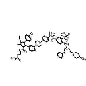 CCn1c(C)c(C(=O)OCCC(=O)O)c(-c2cccc(N3CCN(c4ccc(NS(=O)(=O)c5ccc(N[C@H](CCN6CCC(O)CC6)CSc6ccccc6)c(S(=O)(=O)C(F)(F)F)c5)cc4)CC3)c2)c1-c1ccc(Cl)cc1